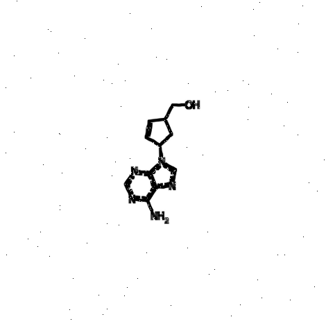 Nc1ncnc2c1ncn2[C@H]1C=CC(CO)C1